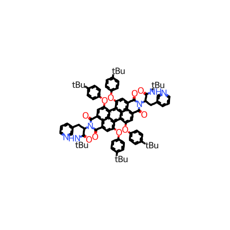 CC(C)(C)NC(=O)C(Cc1cccnc1)N1C(=O)c2cc(Oc3ccc(C(C)(C)C)cc3)c3c4c(Oc5ccc(C(C)(C)C)cc5)cc5c6c(cc(Oc7ccc(C(C)(C)C)cc7)c(c7c(Oc8ccc(C(C)(C)C)cc8)cc(c2c37)C1=O)c64)C(=O)N(C(Cc1cccnc1)C(=O)NC(C)(C)C)C5=O